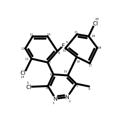 Cc1nnc(Cl)c(-c2c(F)cccc2Cl)c1-c1ccc(Cl)cc1